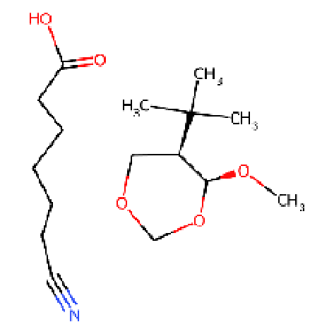 CO[C@H]1OCOC[C@H]1C(C)(C)C.N#CCCCCCC(=O)O